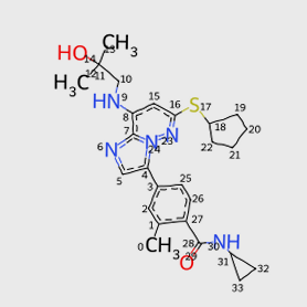 Cc1cc(-c2cnc3c(NCC(C)(C)O)cc(SC4CCCC4)nn23)ccc1C(=O)NC1CC1